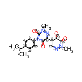 CC(C)c1ccc(-n2c(=O)c(C3C=NN(C)C(=O)C3=O)nn(C)c2=O)cc1